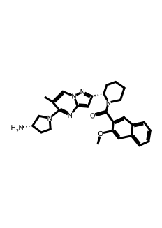 COc1cc2ccccc2cc1C(=O)N1CCCC[C@H]1c1cc2nc(N3CC[C@H](N)C3)c(C)cn2n1